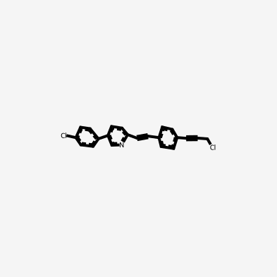 ClCC#Cc1ccc(C#Cc2ccc(-c3ccc(Cl)cc3)cn2)cc1